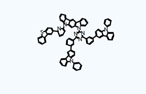 c1ccc(-n2c3ccccc3c3cc(-c4cccc(-c5nc(-c6cccc(-c7ccc8c(c7)c7ccccc7n8-c7ccccc7)c6)nc(-n6c7ccccc7c7cc8c9ccccc9n(-c9cccc(-c%10ccc%11sc%12ccccc%12c%11c%10)n9)c8cc76)n5)c4)ccc32)cc1